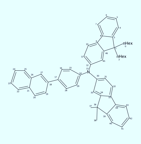 CCCCCCC1(CCCCCC)c2ccccc2-c2ccc(N(c3ccc(-c4ccc5ccccc5c4)cc3)c3ccc4c(c3)C(C)(C)c3ccccc3-4)cc21